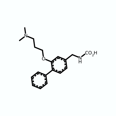 CN(C)CCCOc1cc(CNC(=O)O)ccc1-c1ccccc1